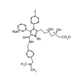 CC(C)n1c(CC[C@@H](O)C[C@@H](O)CC(=O)O)c(-c2ccc(F)cc2)c(-c2ccccc2)c1C(=O)NCc1ccc(CN(C)C)cc1.[NaH]